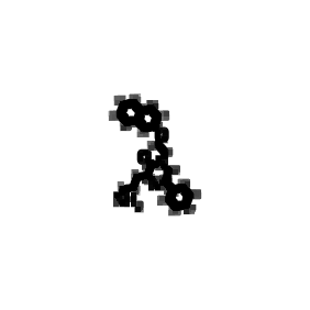 NCCC[C@@H](N)C(=O)N(CCOc1ccc2ccccc2c1)CCc1ccccc1